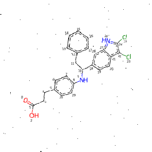 O=C(O)CCc1ccc(NC(Cc2ccccc2)c2ccc3c(Cl)c(Cl)[nH]c3c2)cc1